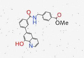 COC(=O)c1ccc(CNC(=O)c2cccc(-c3cc(O)c4ncccc4c3)c2)cc1